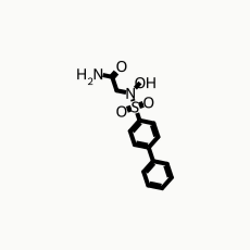 NC(=O)CN(O)S(=O)(=O)c1ccc(-c2ccccc2)cc1